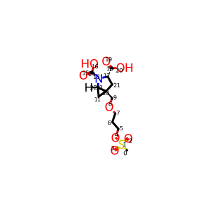 CS(=O)(=O)OCCCOC[C@@]12C[C@@H]1N(C(=O)O)[C@H](C(=O)O)C2